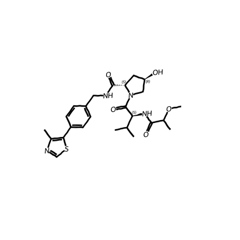 COC(C)C(=O)N[C@H](C(=O)N1C[C@H](O)C[C@H]1C(=O)NCc1ccc(-c2scnc2C)cc1)C(C)C